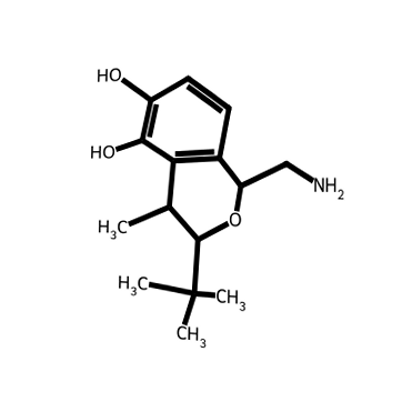 CC1c2c(ccc(O)c2O)C(CN)OC1C(C)(C)C